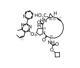 C/C=C\c1c(C)nc(-c2ccccn2)nc1O[C@@H]1C[C@H]2C(=O)N[C@]3(C(=O)O)C[C@H]3/C=C\CCCCC[C@H](NC(=O)OC3CCC3)C(=O)N2C1